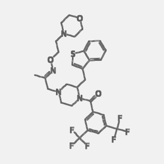 CC(CN1CCN(C(=O)c2cc(C(F)(F)F)cc(C(F)(F)F)c2)C(Cc2csc3ccccc23)C1)=NOCCN1CCOCC1